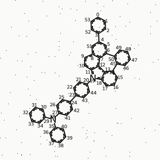 c1ccc(-c2cc3c4c(ccc5c4c4c(cccc4n5-c4ccc(-c5ccc(N(c6ccccc6)c6ccccc6)cc5)cc4)-c4ccccc4-3)c2)cc1